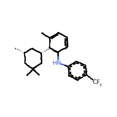 CC1=CC=CC(Nc2ccc(C(F)(F)F)cc2)C1[C@H]1C[C@@H](C)CC(C)(C)C1